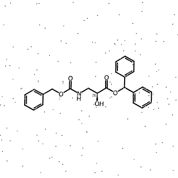 O=C(NC[C@H](O)C(=O)OC(c1ccccc1)c1ccccc1)OCc1ccccc1